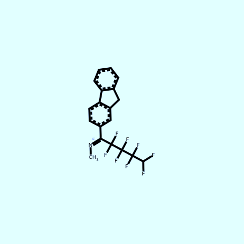 C/N=C(/c1ccc2c(c1)Cc1ccccc1-2)C(F)(F)C(F)(F)C(F)(F)C(F)F